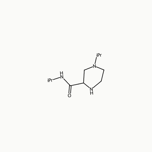 CC(C)NC(=O)C1CN(C(C)C)CCN1